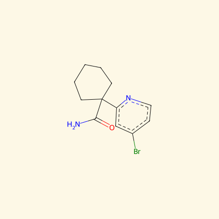 NC(=O)C1(c2cc(Br)ccn2)CCCCC1